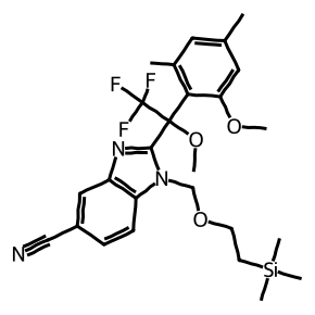 COc1cc(C)cc(C)c1C(OC)(c1nc2cc(C#N)ccc2n1COCC[Si](C)(C)C)C(F)(F)F